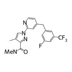 CNC(=O)c1nn(-c2cc(Cc3cc(F)cc(C(F)(F)F)c3)ccn2)cc1C